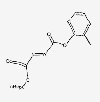 CCCCCCCOC(=O)N=NC(=O)Oc1ccccc1C